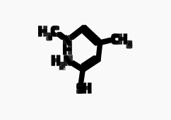 CN/C=C(C)\C=C(/N)S